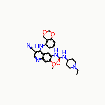 CCN1CCC(NC(=O)Nc2cc3c(Nc4cccc5c4COCO5)c(C#N)cnc3cc2OC)CC1